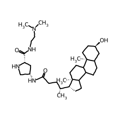 C[C@H](CCC(=O)N[C@@H]1CN[C@H](C(=O)NCCN(C)C)C1)[C@H]1CCC2C3CCC4C[C@H](O)CC[C@]4(C)C3CC[C@@]21C